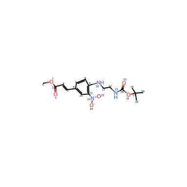 COC(=O)/C=C/c1ccc(NCCNC(=O)OC(C)(C)C)c([N+](=O)[O-])c1